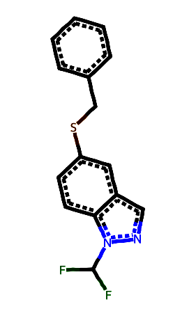 FC(F)n1ncc2cc(SCc3ccccc3)ccc21